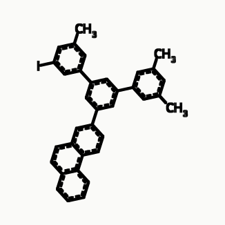 Cc1cc(C)cc(-c2cc(-c3cc(C)cc(I)c3)cc(-c3ccc4c(ccc5ccccc54)c3)c2)c1